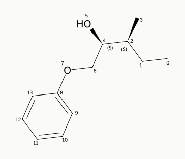 CC[C@H](C)[C@H](O)COc1ccccc1